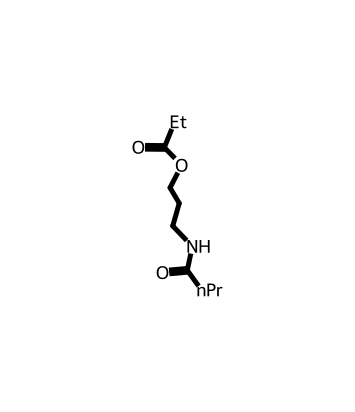 CCCC(=O)NCCCOC(=O)CC